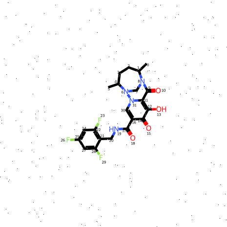 CC1CCC(C)N2CN1C(=O)c1c(O)c(=O)c(C(=O)NCc3c(F)cc(F)cc3F)cn12